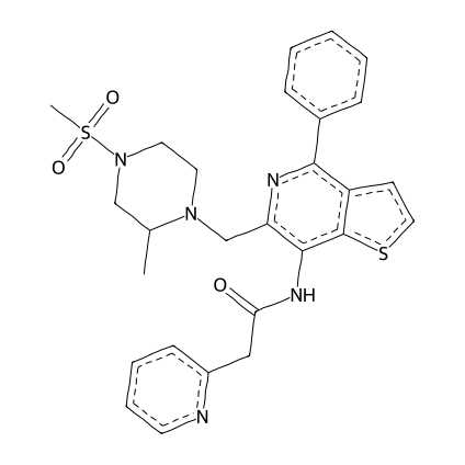 CC1CN(S(C)(=O)=O)CCN1Cc1nc(-c2ccccc2)c2ccsc2c1NC(=O)Cc1ccccn1